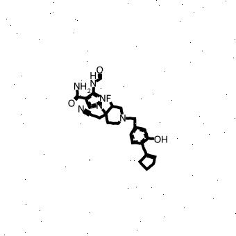 N#CCC1(n2cc(C(N)=O)c(NC=O)n2)CCN(Cc2ccc(C3=CCCC3)c(O)c2)CC1F